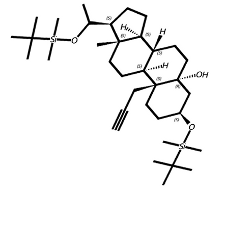 C#CC[C@]12CC[C@H](O[Si](C)(C)C(C)(C)C)C[C@]1(O)CC[C@H]1[C@@H]3CC[C@H](C(C)O[Si](C)(C)C(C)(C)C)[C@@]3(C)CC[C@@H]12